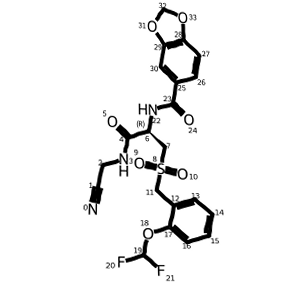 N#CCNC(=O)[C@H](CS(=O)(=O)Cc1ccccc1OC(F)F)NC(=O)c1ccc2c(c1)OCO2